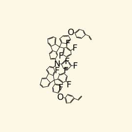 C=Cc1ccc(Oc2ccc(C3(c4c(F)c(F)cc(F)c4F)c4ccccc4-c4ccc(N(c5ccc(F)cc5)c5ccc6c(c5)C(c5ccc(Oc7ccc(C=C)cc7)cc5)(c5c(F)c(F)cc(F)c5F)c5ccccc5-6)cc43)cc2)cc1